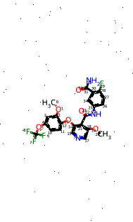 COc1cc(OC(F)(F)F)ccc1Oc1cncc(OC)c1C(=O)Nc1ccc(F)c(C(N)=O)c1